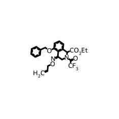 C=CCON=C1CN(C(=O)C(F)(F)F)C(C(=O)OCC)c2cccc(OCc3ccccc3)c21